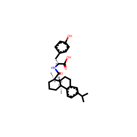 CC(C)c1ccc2c(c1)CC[C@H]1[C@](C)(C(=O)N[C@H](Cc3ccc(O)cc3)C(=O)O)CCC[C@]21C